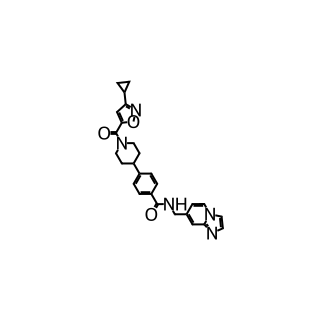 O=C(NCc1ccn2ccnc2c1)c1ccc(C2CCN(C(=O)c3cc(C4CC4)no3)CC2)cc1